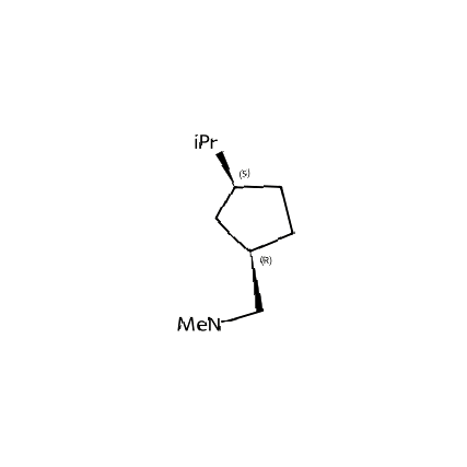 CNC[C@@H]1CC[C@H](C(C)C)C1